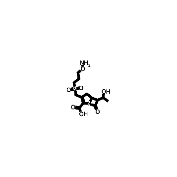 CC(O)C1C(=O)N2C(C(=O)O)=C(CS(=O)(=O)CCCON)CC12